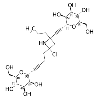 CCCC1(C#C[C@H]2O[C@H](CO)[C@@H](O)[C@H](O)[C@@H]2O)CC(Cl)(CCC#C[C@H]2O[C@H](CO)[C@@H](O)[C@H](O)[C@@H]2O)N1